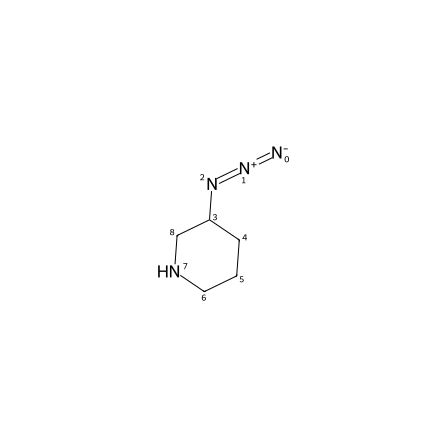 [N-]=[N+]=NC1CCCNC1